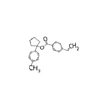 C=Cc1ccc(C(=O)OC2(c3ccc(C)cc3)CCCC2)cc1